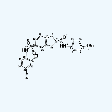 CC(C)(C)c1ccc(NC(=O)N2Cc3ccc(S(=O)(=O)Nc4ccc(F)cc4Cl)cc3C2)cc1